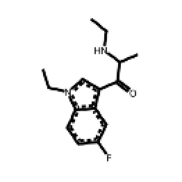 CCNC(C)C(=O)c1cn(CC)c2ccc(F)cc12